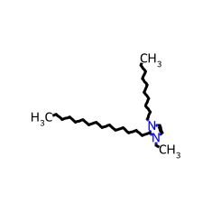 CCCCCCCCCCCCCCCC1N(CC)C=CN1CCCCCCCCCC